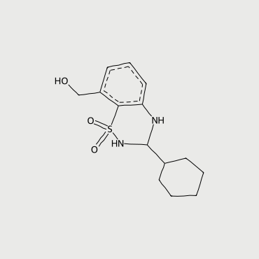 O=S1(=O)NC(C2CCCCC2)Nc2cccc(CO)c21